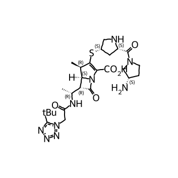 C[C@@H](NC(=O)Cn1nnnc1C(C)(C)C)[C@H]1C(=O)N2C(C(=O)O)=C(S[C@@H]3CN[C@H](C(=O)N4CC[C@H](N)C4)C3)[C@H](C)[C@H]12